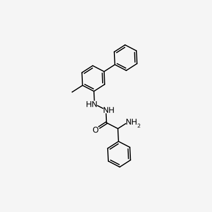 Cc1ccc(-c2ccccc2)cc1NNC(=O)C(N)c1ccccc1